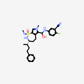 CN=S1(=O)N[C@@H](C(C)CCc2ccccc2)CCc2c1cn(C)c2C(O)Nc1ccc(F)c(C#N)c1